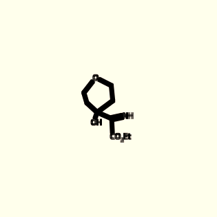 CCOC(=O)C(=N)C1(O)CCOCC1